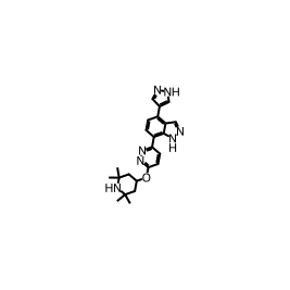 CC1(C)CC(Oc2ccc(-c3ccc(-c4cn[nH]c4)c4cn[nH]c34)nn2)CC(C)(C)N1